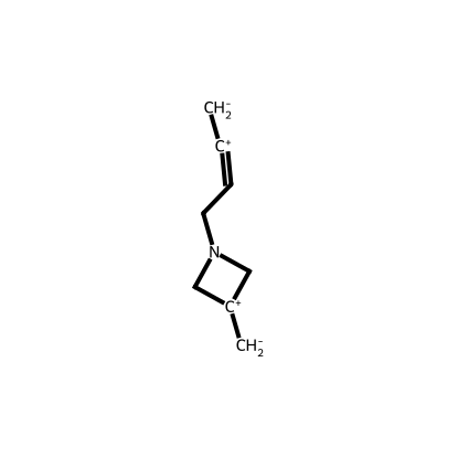 [CH2-]/[C+]=C/CN1C[C+]([CH2-])C1